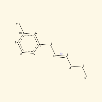 CCC/C=C/Cc1cccc(C)c1